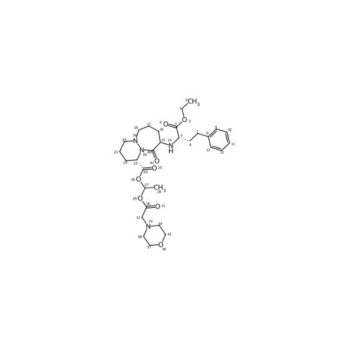 CCOC(=O)[C@H](CCc1ccccc1)NC1CCCN2CCC[C@@H](C(=O)OC(C)OC(=O)CN3CCOCC3)N2C1=O